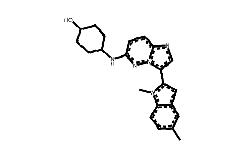 Cc1ccc2c(c1)cc(-c1cnc3ccc(NC4CCC(O)CC4)nn13)n2C